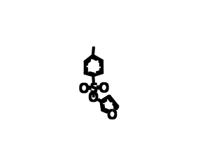 Cc1ccc(S(=O)(=O)Oc2ccoc2)cc1